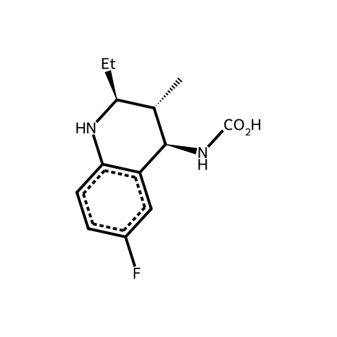 CC[C@@H]1Nc2ccc(F)cc2[C@H](NC(=O)O)[C@H]1C